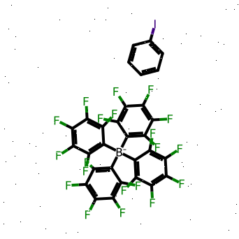 Fc1c(F)c(F)c([B-](c2c(F)c(F)c(F)c(F)c2F)(c2c(F)c(F)c(F)c(F)c2F)c2c(F)c(F)c(F)c(F)c2F)c(F)c1F.Ic1ccccc1